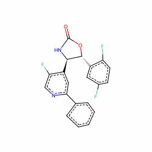 O=C1N[C@H](c2cc(-c3ccccc3)ncc2F)[C@@H](c2cc(F)ccc2F)O1